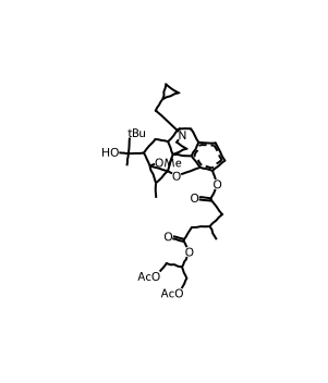 COC12C(C(C)(O)C(C)(C)C)CC3C4Cc5ccc(OC(=O)CC(C)CC(=O)OC(COC(C)=O)COC(C)=O)c6c5C3(CCN4CC3CC3)C1(O6)C2C